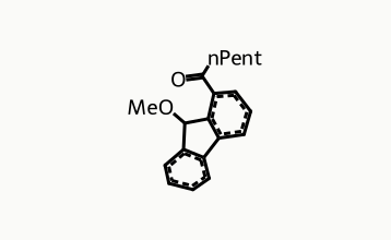 CCCCCC(=O)c1cccc2c1C(OC)c1ccccc1-2